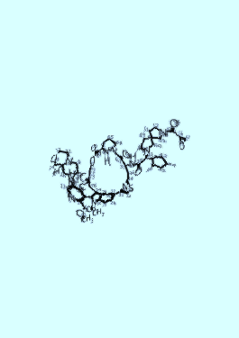 CCn1c(-c2cc(N3CCN4CCOC[C@@H]4C3)cnc2[C@H](C)OC)c2c3cc(ccc31)-c1csc(n1)C[C@H](NC(=O)[C@H](C1CCCC1)N1CC[C@]3(CCN(C(=O)[C@H]4CO4)C3)C1)C(=O)N1CCC[C@H](N1)C(=O)OCC(C)(C)C2